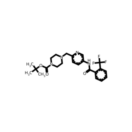 CC(C)(C)OC(=O)N1CCN(Cc2ccc(NC(=O)c3ccccc3C(F)(F)F)cn2)CC1